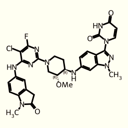 CO[C@@H]1CN(c2nc(F)c(Cl)c(Nc3ccc4c(c3)CC(=O)N4C)n2)CC[C@H]1Nc1ccc2c(-n3ccc(=O)[nH]c3=O)nn(C)c2c1